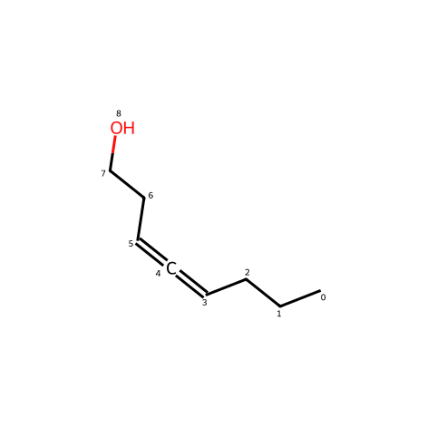 CCCC=C=CCCO